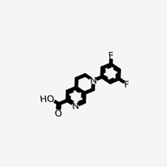 O=C(O)c1cc2c(cn1)CN(c1cc(F)cc(F)c1)CC2